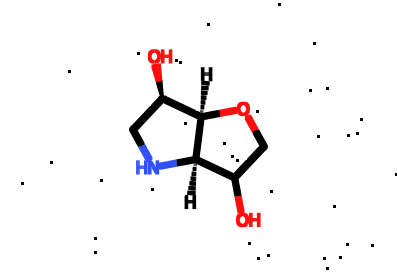 OC1CO[C@@H]2[C@H](O)CN[C@H]12